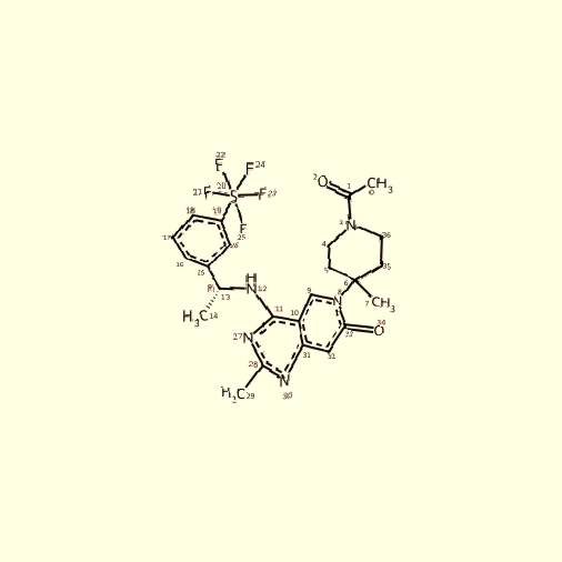 CC(=O)N1CCC(C)(n2cc3c(N[C@H](C)c4cccc(S(F)(F)(F)(F)F)c4)nc(C)nc3cc2=O)CC1